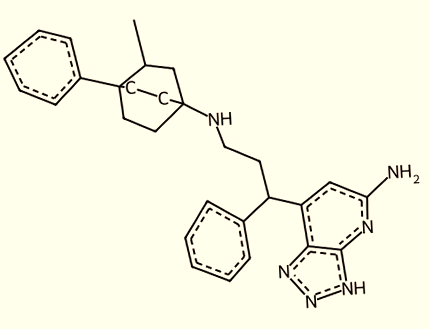 CC1CC2(NCCC(c3ccccc3)c3cc(N)nc4[nH]nnc34)CCC1(c1ccccc1)CC2